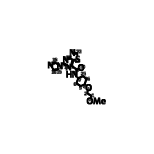 COCCOC1CCC(NC(=O)c2nc(-n3ccnc3)nc3ncsc23)CC1